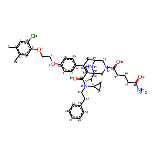 Cc1cc(Cl)c(OCCOc2ccc(C3=C(C(=O)N(CCc4ccccc4)C4CC4)[C@H]4CN(C(=O)CCCC(N)=O)CC(C3)N4)cc2)cc1C